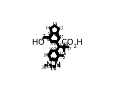 Cc1c(C(c2cc(CO)c3c(c2)CCC3)C(C)(C)C(=O)O)ccc2c1nnn2C